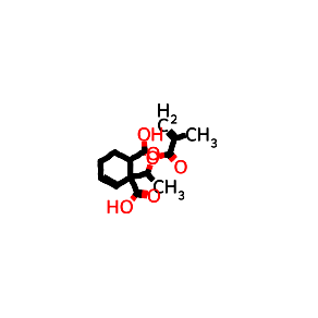 C=C(C)C(=O)OC(C)C1(C(=O)O)C=CCCC1C(=O)O